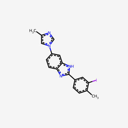 Cc1cn(-c2ccc3nc(-c4ccc(C)c(I)c4)[nH]c3c2)cn1